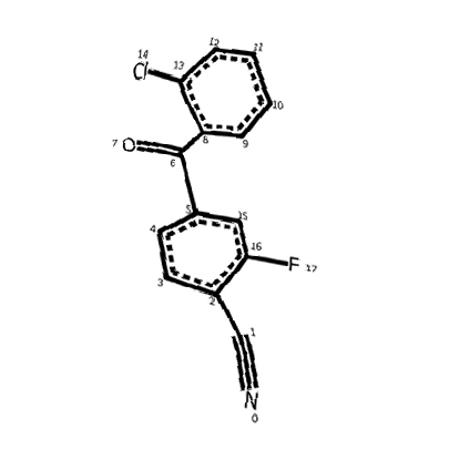 N#Cc1ccc(C(=O)c2ccccc2Cl)cc1F